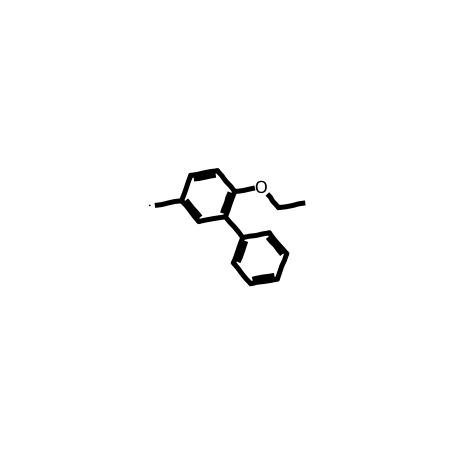 [CH2]c1ccc(OCC)c(-c2ccccc2)c1